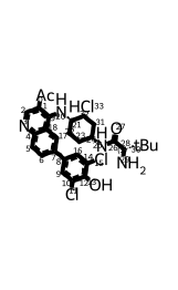 CC(=O)c1cnc2ccc(-c3cc(Cl)c(O)c(Cl)c3)cc2c1N[C@H]1CC[C@H](NC(=O)[C@@H](N)C(C)(C)C)CC1.Cl